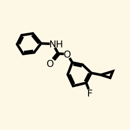 O=C(Nc1ccccc1)Oc1ccc(F)c(C2CC2)c1